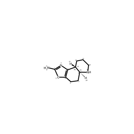 Nc1nc2c(o1)CC[C@@H]1NCCC[C@@H]21